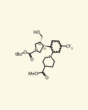 COC(=O)C1CCN(c2cc(C(F)(F)F)ccc2[C@H]2CN(C(=O)OC(C)(C)C)C[C@@H]2CO)CC1